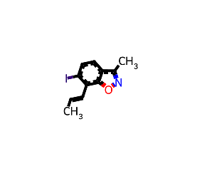 CC=Cc1c(I)ccc2c(C)noc12